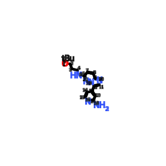 CC(C)(C)OCCCNc1ccc2ncc(-c3ccnc(N)c3)n2n1